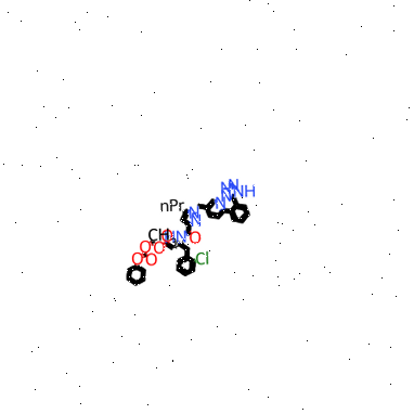 CCCc1cc(C(=O)N[C@@H](CC(=O)OC(C)OC(=O)OC2CCCCC2)Cc2ccccc2Cl)nn1Cc1ccc(-c2ccccc2-c2nnn[nH]2)nc1